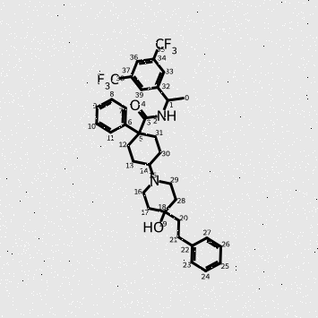 CC(NC(=O)C1(c2ccccc2)CCC(N2CCC(O)(CCc3ccccc3)CC2)CC1)c1cc(C(F)(F)F)cc(C(F)(F)F)c1